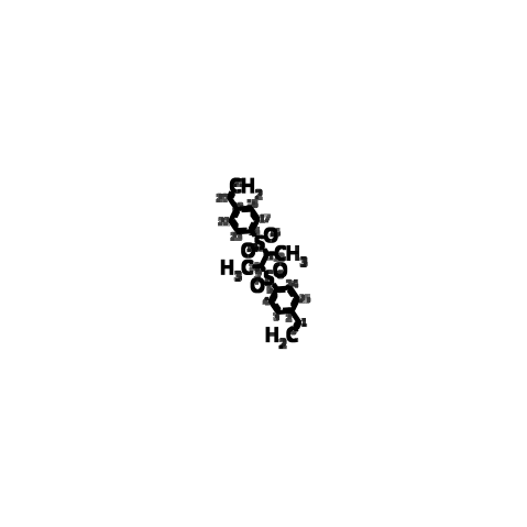 C=Cc1ccc(S(=O)(=O)C(C)C(C)S(=O)(=O)c2ccc(C=C)cc2)cc1